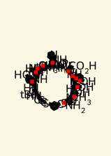 CCC[C@@H]1NC(=O)[C@H](Cc2c[nH]c3ncccc23)NC(=O)[C@H]([C@@H](C)O)NC(=O)[C@H](Cc2cnc[nH]2)NC(=O)[C@H](Cc2ccc(O)cc2)NC(=O)[C@H](C(C)(C)C)NC(=O)CCSCc2cccc(c2)CSC[C@@H](C(N)=O)NC(=O)[C@H]([C@@H](C)O)NC(=O)[C@H](CCO)NC(=O)[C@H](Cc2ccc(O)cc2)NC(=O)[C@H](CCC(=O)O)NC1=O